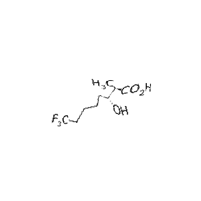 C[C@@H](C(=O)O)[C@H](O)CCCCC(F)(F)F